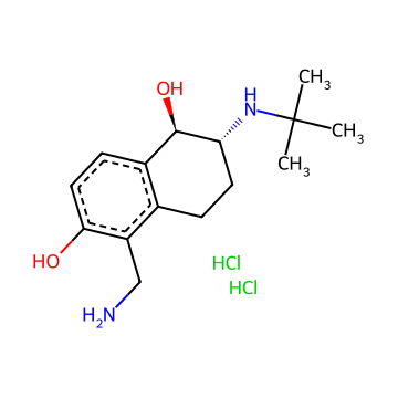 CC(C)(C)N[C@@H]1CCc2c(ccc(O)c2CN)[C@H]1O.Cl.Cl